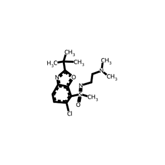 CN(C)CCN=S(C)(=O)c1c(Cl)ccc2nc(C(C)(C)C)oc12